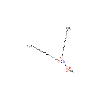 CCCCCC=CCC=CCCCCCCCCO[C@@H]1CN(CCCOS(C)(=O)=O)C[C@H]1OCCCCCCCCC=CCC=CCCCCC